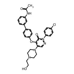 CC(=O)Nc1cccc(-c2ccc(Oc3c(N4CCN(CCO)CC4)cnn(-c4ccc(Cl)cc4)c3=O)cc2)c1